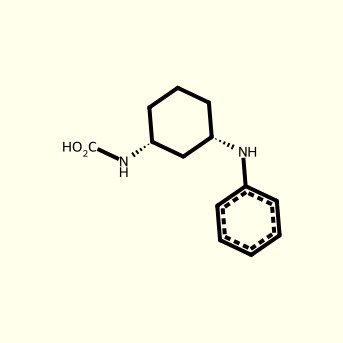 O=C(O)N[C@@H]1CCC[C@H](Nc2ccccc2)C1